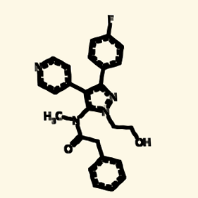 CN(C(=O)Cc1ccccc1)c1c(-c2ccncc2)c(-c2ccc(F)cc2)nn1CCO